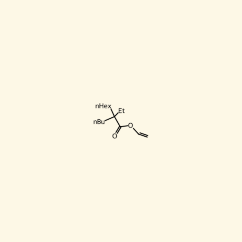 C=COC(=O)C(CC)(CCCC)CCCCCC